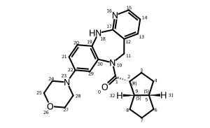 O=C([C@@H]1CC[C@@H]2CCC[C@@H]21)N1Cc2cccnc2Nc2ccc(N3CCOCC3)cc21